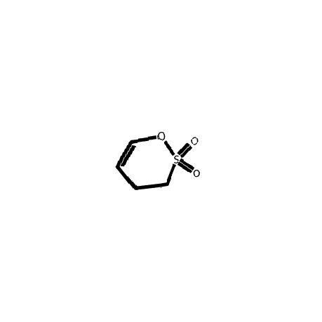 O=S1(=O)CCC=CO1